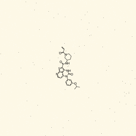 C=CC(=O)N1CCC[C@@H](NC(=O)c2sc3nccc4c3c2NC(=O)N4c2cccc(OC(C)C)c2)C1